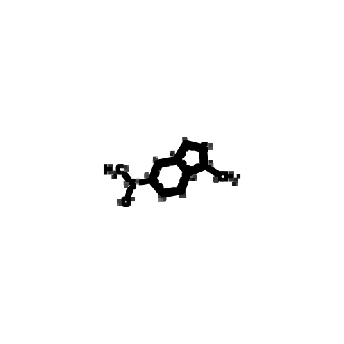 [CH2]c1scc2cc([S+](C)[O-])ccc12